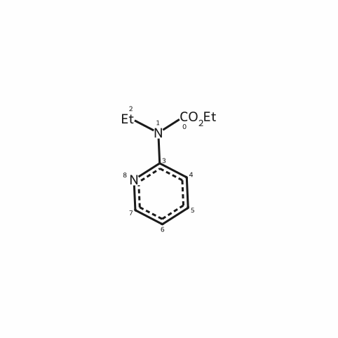 CCOC(=O)N(CC)c1ccccn1